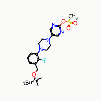 CC(C)(C)[Si](C)(C)OCc1cccc(N2CCN(c3cnc(OS(=O)(=O)C(F)(F)F)nc3)CC2)c1F